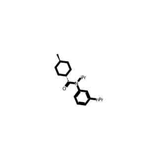 C[CH]Cc1cccc(N(C(=O)[C@H]2CC[C@H](C)CC2)C(C)C)c1